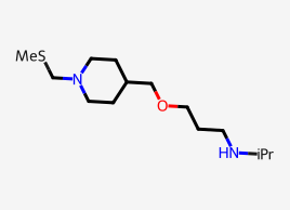 CSCN1CCC(COCCCNC(C)C)CC1